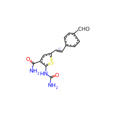 NC(=O)Nc1sc(/C=C/c2ccc(C=O)cc2)cc1C(N)=O